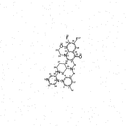 Cc1cncc(CN(Cc2cn3c4c(c(F)c(F)cc4c2=O)OCC3)C2CCCN(c3cnccn3)C2)c1